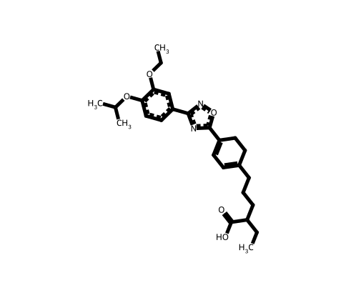 CCOc1cc(-c2noc(C3=CC=C(CCCC(CC)C(=O)O)CC3)n2)ccc1OC(C)C